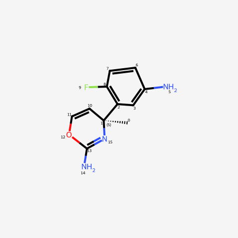 C[C@@]1(c2cc(N)ccc2F)C=COC(N)=N1